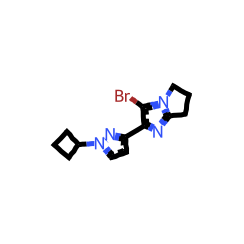 Brc1c(-c2ccn(C3CCC3)n2)nc2n1CCC2